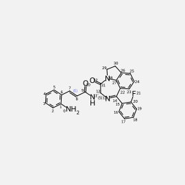 Nc1ccccc1/C=C/C(=O)N[C@H]1N=C(c2ccccc2F)c2cccc3c2N(CC3)C1=O